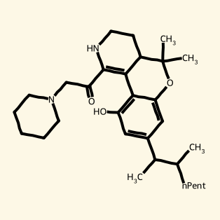 CCCCCC(C)C(C)c1cc(O)c2c(c1)OC(C)(C)C1CCNC(C(=O)CN3CCCCC3)=C21